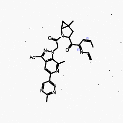 C=C/N=C(\C=C/C)C(=O)C1CC2(C)CC2N1C(=O)Cn1nc(C(C)=O)c2cc(-c3cnc(C)nc3)nc(C)c21